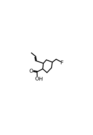 CC=CC1CC(CF)CCC1C(=O)O